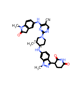 C[C@@H]1CN(c2ncc(C#N)c(Nc3ccc4c(c3)CC(=O)N4C)n2)CC[C@H]1Nc1ccc2c(C3CCC(=O)NC3=O)nn(C)c2c1